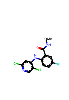 CONC(=O)c1cc(F)ccc1Nc1cc(Cl)ncc1Cl